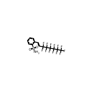 NS(=O)(=O)c1ccccc1C=CC(F)(F)C(F)(F)C(F)(F)C(F)(F)C(F)(F)C(F)(F)F